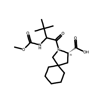 COC(=O)NC(C(=O)N1CC2(CCCCC2)C[C@H]1C(=O)O)C(C)(C)C